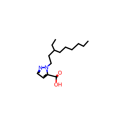 CCCCCCC(CC)CCn1nccc1C(=O)O